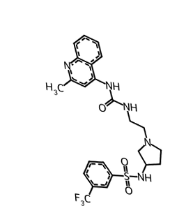 Cc1cc(NC(=O)NCCN2CCC(NS(=O)(=O)c3cccc(C(F)(F)F)c3)C2)c2ccccc2n1